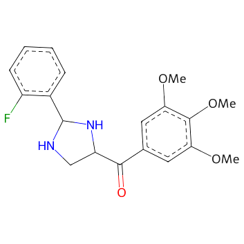 COc1cc(C(=O)C2CNC(c3ccccc3F)N2)cc(OC)c1OC